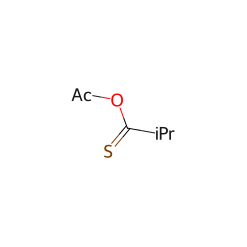 CC(=O)OC(=S)C(C)C